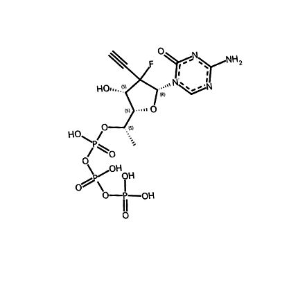 C#CC1(F)[C@@H](O)[C@@H]([C@H](C)OP(=O)(O)OP(=O)(O)OP(=O)(O)O)O[C@H]1n1cnc(N)nc1=O